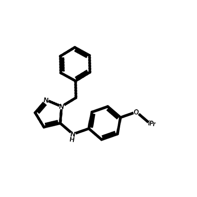 CC(C)Oc1ccc(Nc2ccnn2Cc2ccccc2)cc1